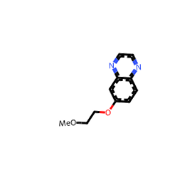 COCCOc1ccc2nccnc2c1